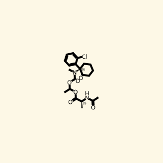 CC(=O)N[C@@H](C)C(=O)OC(C)OC(=O)N(C)[C@@]1(c2ccccc2Cl)CCCCC1=O